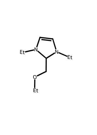 CCOCC1N(CC)C=CN1CC